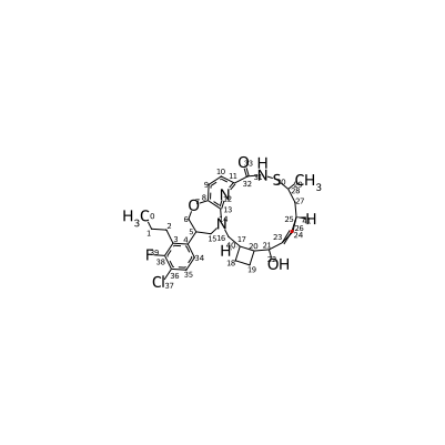 CCCc1c(C2COc3ccc4nc3N(C2)C[C@@H]2CCC2C(O)C2=C[C@@H](C2)CC(C)SNC4=O)ccc(Cl)c1F